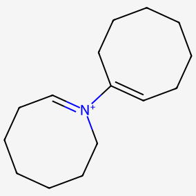 C1=C([N+]2=CCCCCCC2)CCCCCC1